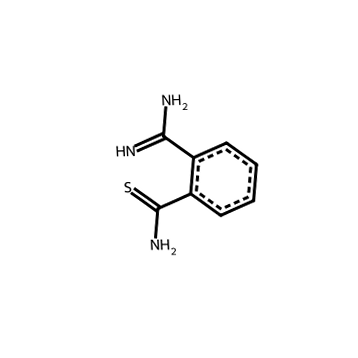 N=C(N)c1ccccc1C(N)=S